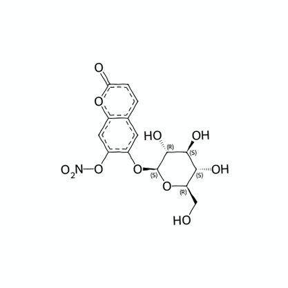 O=c1ccc2cc(O[C@@H]3O[C@H](CO)[C@@H](O)[C@H](O)[C@H]3O)c(O[N+](=O)[O-])cc2o1